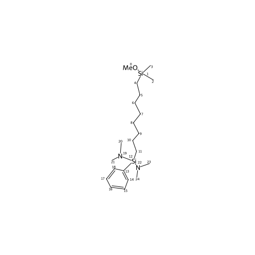 CO[Si](C)(C)CCCCCCCC[Si](c1ccccc1)(N(C)C)N(C)C